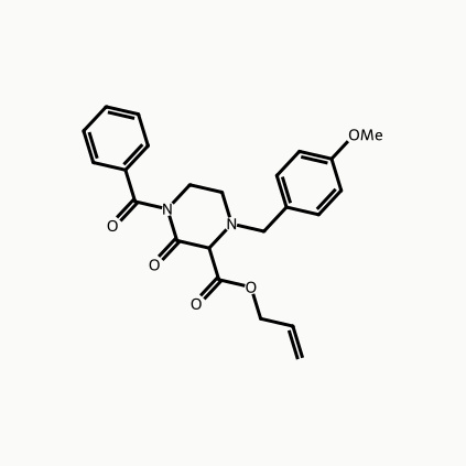 C=CCOC(=O)C1C(=O)N(C(=O)c2ccccc2)CCN1Cc1ccc(OC)cc1